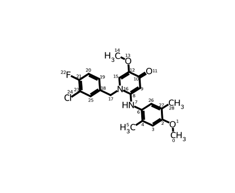 COc1cc(C)c(Nc2cc(=O)c(OC)cn2Cc2ccc(F)c(Cl)c2)cc1C